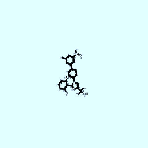 Cc1cc(-c2ccc(-n3cc(C(C)(C)O)nc3-c3c(Cl)cccc3Cl)cc2)cc([S+](C)[O-])c1